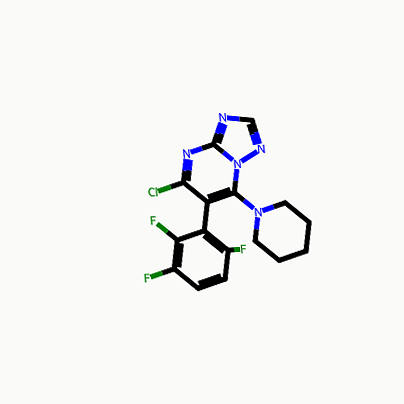 Fc1ccc(F)c(-c2c(Cl)nc3ncnn3c2N2CCCCC2)c1F